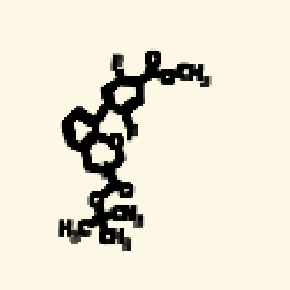 COC(=O)c1cc(F)c(-c2cccc3c2OCN(C(=O)OC(C)(C)C)C3)cc1F